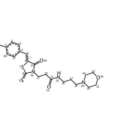 CCc1ccc(/C=C2\SC(=S)N(CCC(=O)NCCCN3CCOCC3)C2=O)cc1